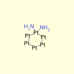 [NH2][Pt]1([NH2])[Pt][Pt][Pt][Pt][Pt]1